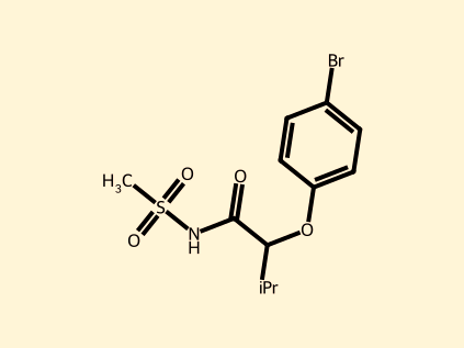 CC(C)C(Oc1ccc(Br)cc1)C(=O)NS(C)(=O)=O